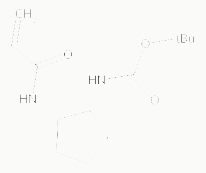 C=CC(=O)N[C@H]1CCC[C@H]1NC(=O)OC(C)(C)C